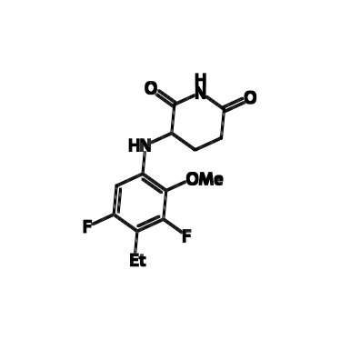 CCc1c(F)cc(NC2CCC(=O)NC2=O)c(OC)c1F